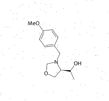 COc1ccc(CN2COC[C@@H]2C(C)O)cc1